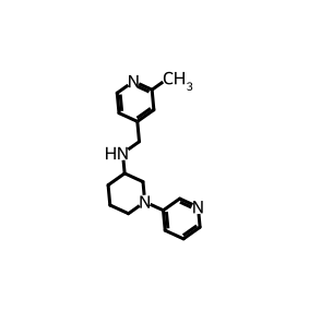 Cc1cc(CNC2CCCN(c3cccnc3)C2)ccn1